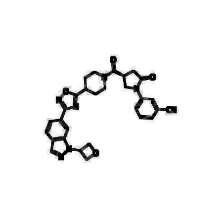 N#Cc1cccc(N2C[C@@H](C(=O)N3CCC(c4nc(-c5ccc6cnn(C7COC7)c6c5)no4)CC3)CC2=O)c1